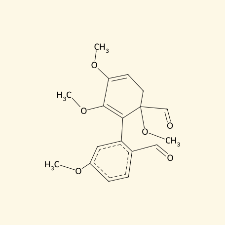 COC1=CCC(C=O)(OC)C(c2cc(OC)ccc2C=O)=C1OC